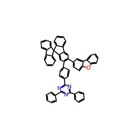 c1ccc(-c2nc(-c3ccccc3)nc(-c3ccc(-c4cc5c(cc4-c4ccc6oc7ccccc7c6c4)-c4ccccc4C54c5ccccc5-c5ccccc54)cc3)n2)cc1